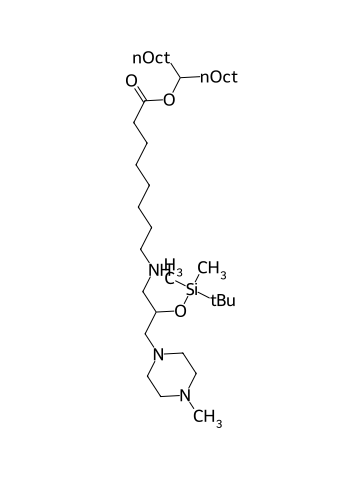 CCCCCCCCC(CCCCCCCC)OC(=O)CCCCCCCNCC(CN1CCN(C)CC1)O[Si](C)(C)C(C)(C)C